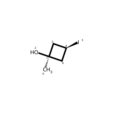 C[C@]1(O)C[C@@H](I)C1